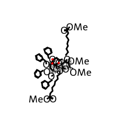 COC[C@H]1O[C@H](OCCCCCCCCC(=O)OC)[C@H](O[C@@H]2O[C@H](COCc3ccccc3)[C@@H](OCc3ccccc3)[C@H](OCc3ccccc3)[C@H]2OCc2ccccc2)[C@@](Cc2ccccc2)(OCCCCCCCCC(=O)OC)[C@@H]1OC